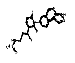 O=[SH](=O)NCCC(F)c1ccc(F)c(-c2ccc3c(cnc4[nH]ncc43)c2)c1F